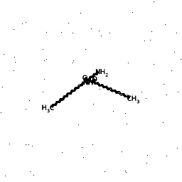 CCCCCC=CCC=CCCCCCCCCNC(=O)C(CCCCN)NC(=O)CCCCCCCC=CCC=CCCCCC